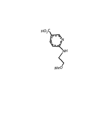 COCCNc1ccc(C(=O)O)cn1